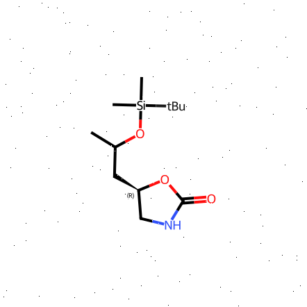 CC(C[C@@H]1CNC(=O)O1)O[Si](C)(C)C(C)(C)C